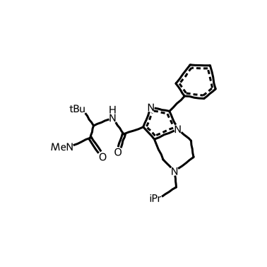 CNC(=O)C(NC(=O)c1nc(-c2ccccc2)n2c1CN(CC(C)C)CC2)C(C)(C)C